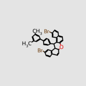 Cc1cc(C)cc(-c2ccc(C3c4c(ccc5ccc(Br)cc45)OC4C=Cc5ccc(Br)cc5C43)cc2)c1